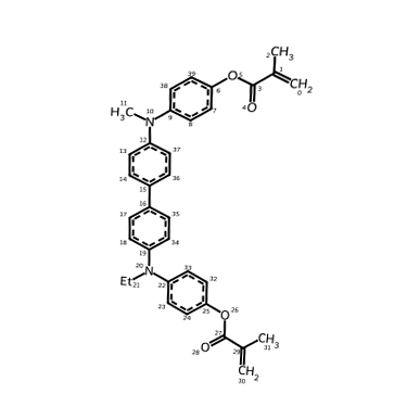 C=C(C)C(=O)Oc1ccc(N(C)c2ccc(-c3ccc(N(CC)c4ccc(OC(=O)C(=C)C)cc4)cc3)cc2)cc1